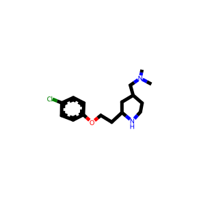 CN(C)CC1CCNC(CCOc2ccc(Cl)cc2)C1